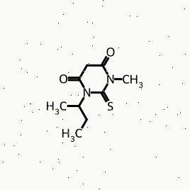 CCC(C)N1C(=O)CC(=O)N(C)C1=S